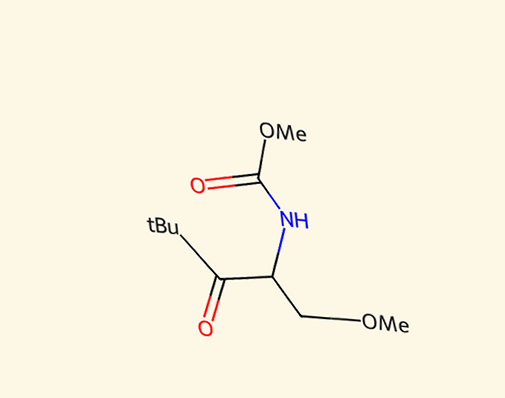 COCC(NC(=O)OC)C(=O)C(C)(C)C